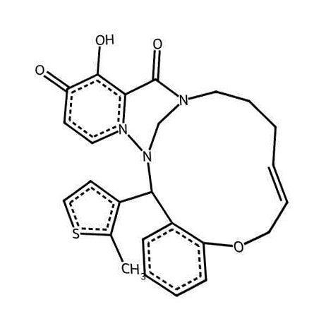 Cc1sccc1C1c2ccccc2OC/C=C/CCCN2CN1n1ccc(=O)c(O)c1C2=O